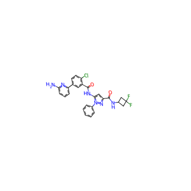 Nc1cccc(-c2ccc(Cl)c(C(=O)Nc3cc(C(=O)NC4CC(F)(F)C4)nn3-c3ccccc3)c2)n1